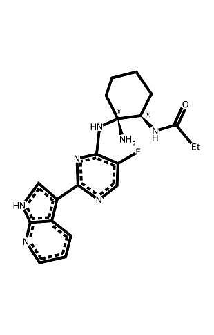 CCC(=O)N[C@@H]1CCCC[C@@]1(N)Nc1nc(-c2c[nH]c3ncccc23)ncc1F